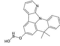 CC1(C)c2ccccc2-n2c3ncccc3c3cc(OBO)cc1c32